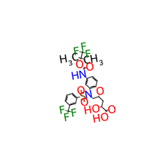 CC(C)(OC(=O)Nc1ccc2c(c1)N(S(=O)(=O)c1cccc(C(F)(F)F)c1)CC(CC(O)C(=O)O)O2)C(F)(F)F